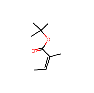 [CH2]/C(=C/C)C(=O)OC(C)(C)C